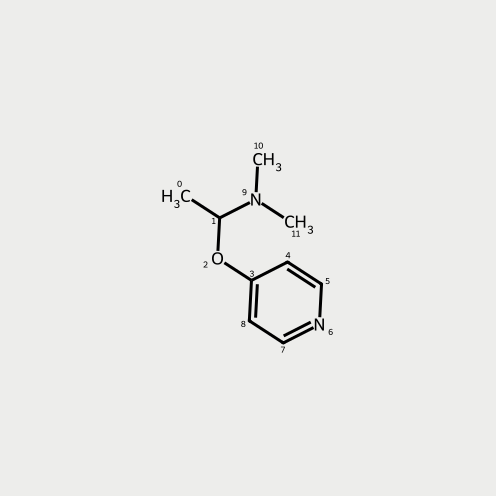 CC(Oc1ccncc1)N(C)C